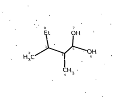 CCC(C)C(C)C(O)O